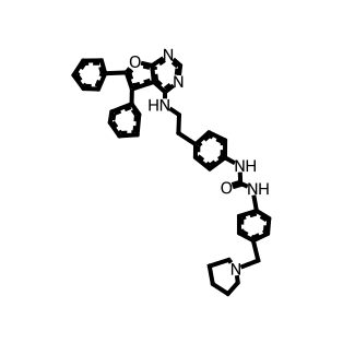 O=C(Nc1ccc(CCNc2ncnc3oc(-c4ccccc4)c(-c4ccccc4)c23)cc1)Nc1ccc(CN2CCCCC2)cc1